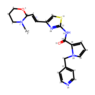 CC(=O)N1CCCOC1/C=C/c1csc(NC(=O)c2cccn2Cc2ccncc2)n1